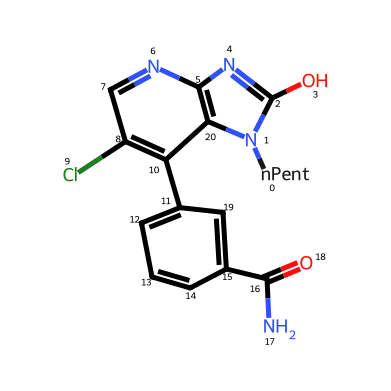 CCCCCn1c(O)nc2ncc(Cl)c(-c3cccc(C(N)=O)c3)c21